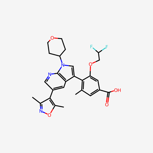 Cc1cc(C(=O)O)cc(OCC(F)F)c1-c1cn(C2CCOCC2)c2ncc(-c3c(C)noc3C)cc12